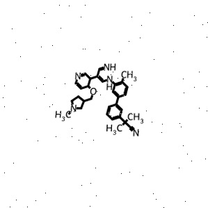 Cc1ccc(-c2cccc(C(C)(C)C#N)c2)cc1N/C=C(\C=N)C1C=NC=CC1OCC1CCN(C)C1